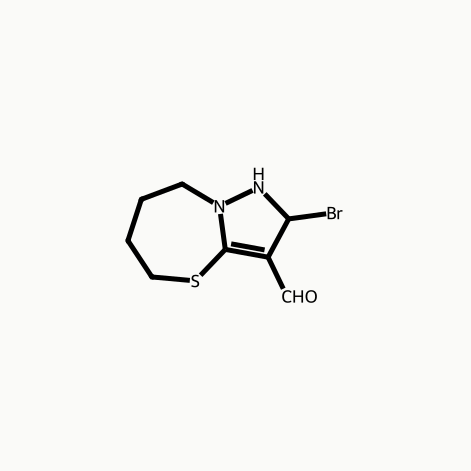 O=CC1=C2SCCCCN2NC1Br